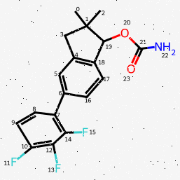 CC1(C)Cc2cc(-c3ccc(F)c(F)c3F)ccc2C1OC(N)=O